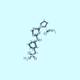 NC(=O)[C@H]1CCCN1c1ncnc(Nc2cccc(CS(N)(=O)=O)c2)n1